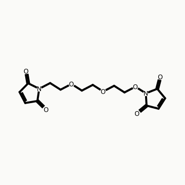 O=C1C=CC(=O)N1CCOCCOCCON1C(=O)C=CC1=O